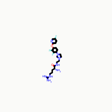 N=C(N)NCCC[C@@H](N)C(=O)NCCN1C=CN(c2ccc(Oc3ccc(F)cn3)c(F)c2F)C1